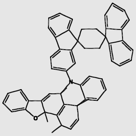 CC1C=CC2(C)C3=C1C1(C)Oc4ccccc4C1=CC3(C)N(c1ccc3c(c1)C1(CCC4(CC1)c1ccccc1-c1ccccc14)c1ccccc1-3)c1ccccc12